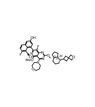 C#Cc1c(F)ccc2cc(O)cc(-c3nc(OC)c4c(N5CCCOCC5)nc(OC[C@]56CCC[C@H]5N(C5CC7(COC7)C5)CCC6)nc4c3F)c12